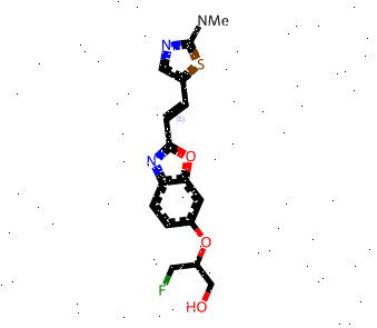 CNc1ncc(/C=C/c2nc3ccc(OC(CO)CF)cc3o2)s1